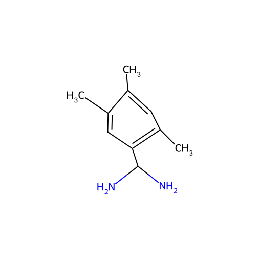 Cc1cc(C)c(C(N)N)cc1C